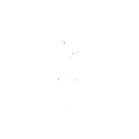 C[C@]12CC[C@H]3[C@@H](CC=C4C[C@@H](O)CC[C@@]43C)[C@@]1(O)CC[C@]2(O)c1ccccn1